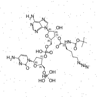 CC(C)(C)OC(=O)N[C@@H](CCCCN=[N+]=[N-])C(=O)O[C@H]1[C@@H](O)[C@H](n2cnc3c(N)ncnc32)O[C@@H]1COP(=O)(O)O[C@H]1C[C@H](n2ccc(N)nc2=O)O[C@@H]1CO[PH](O)(O)O